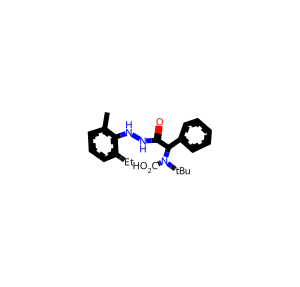 CCc1cccc(C)c1NNC(=O)C(c1ccccc1)N(C(=O)O)C(C)(C)C